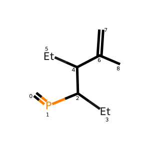 C=PC(CC)C(CC)C(=C)C